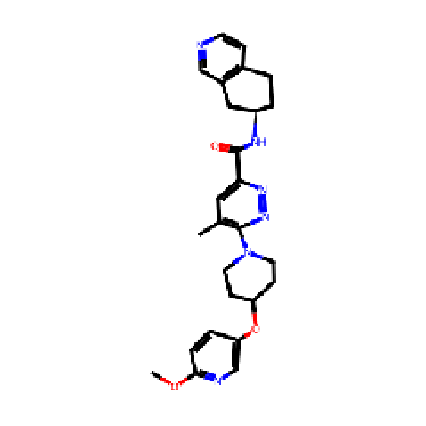 COc1ccc(OC2CCN(c3nnc(C(=O)N[C@@H]4CCc5ccncc5C4)cc3C)CC2)cn1